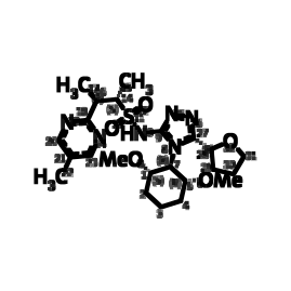 CO[C@H]1CCC[C@@H](OC)[C@@H]1n1c(NS(=O)(=O)[C@@H](C)[C@H](C)c2ncc(C)cn2)nnc1[C@H]1CCCO1